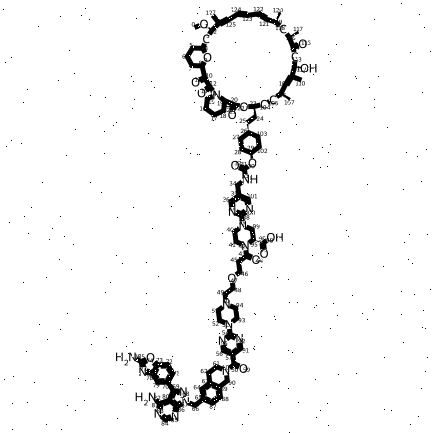 CO[C@H]1CC2CCCC(O2)C(=O)C(=O)N2CCCC[C@H]2C(=O)O[C@H](CC[C@H]2CC[C@H](OC(=O)NCc3cnc(N4CCN(C(=O)CCOCCN5CCN(c6ncc(C(=O)N7CCc8cc(Cn9nc(-c%10ccc%11oc(N)nc%11c%10)c%10c(N)ncnc%109)ccc8C7)cn6)CC5)[C@@H](C(=O)O)C4)nc3)CC2)CC[C@H](C)/C=C(\C)[C@@H](O)CC(=O)[C@H](C)C[C@H](C)/C=C/C=C/C=C/1C